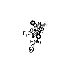 CC(C)C(NC(=O)C(C(=O)c1ccc(C(=O)NCCN2CCOCC2)cc1)N(C(=O)[C@@H](N)C(C)C)C1Cc2ccccc2C1)C(=O)C(F)(F)F